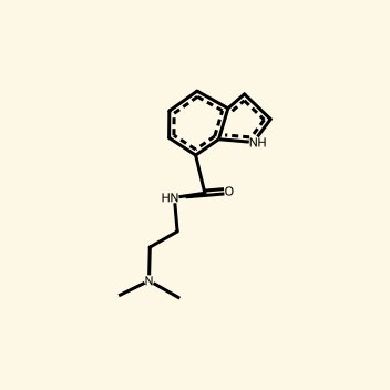 CN(C)CCNC(=O)c1cccc2cc[nH]c12